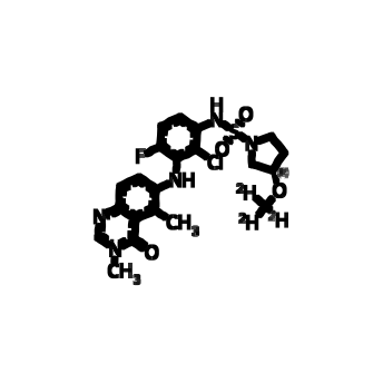 [2H]C([2H])([2H])O[C@@H]1CCN(S(=O)(=O)Nc2ccc(F)c(Nc3ccc4ncn(C)c(=O)c4c3C)c2Cl)C1